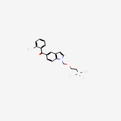 C[Si](C)(C)CCOCn1ccc2cc(C(=O)c3ccccc3C#N)ccc21